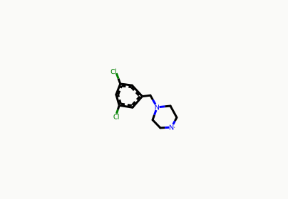 Clc1cc(Cl)cc(CN2CC[N]CC2)c1